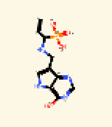 C=CC(NCc1c[nH]c2c(O)ncnc12)P(=O)(O)O